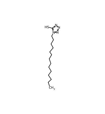 CCCCCCCCCCCCCCn1nnnc1S